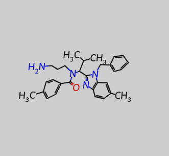 Cc1ccc(C(=O)N(CCCN)C(c2nc3ccc(C)cc3n2Cc2ccccc2)C(C)C)cc1